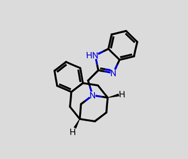 c1ccc2c(c1)C[C@H]1CC[C@@H](C2)N(Cc2nc3ccccc3[nH]2)C1